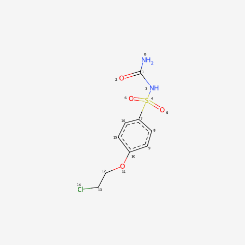 NC(=O)NS(=O)(=O)c1ccc(OCCCl)cc1